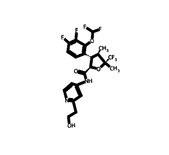 C[C@H]1[C@@H](c2ccc(F)c(F)c2OC(F)F)[C@H](C(=O)Nc2ccnc(CCO)c2)O[C@@]1(C)C(F)(F)F